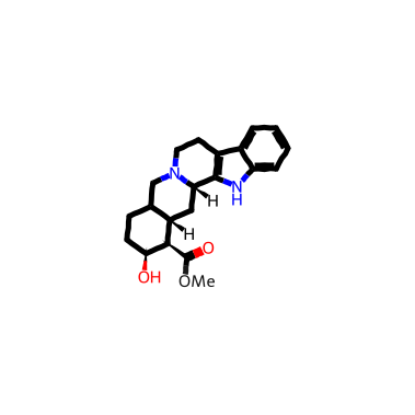 COC(=O)[C@H]1[C@@H](O)CCC2CN3CCc4c([nH]c5ccccc45)[C@@H]3C[C@@H]21